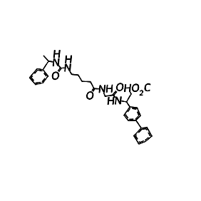 CC(NC(=O)NCCCCC(=O)NCC(=O)NC(CC(=O)O)c1ccc(-c2ccccc2)cc1)c1ccccc1